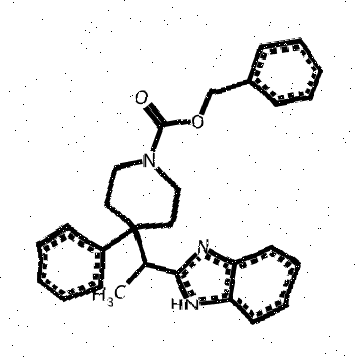 CC(c1nc2ccccc2[nH]1)C1(c2ccccc2)CCN(C(=O)OCc2ccccc2)CC1